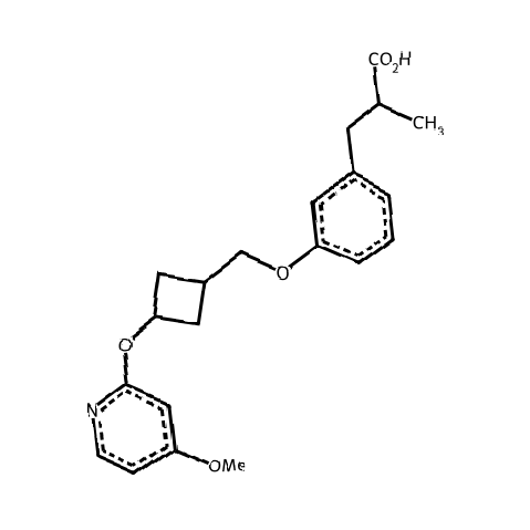 COc1ccnc(OC2CC(COc3cccc(CC(C)C(=O)O)c3)C2)c1